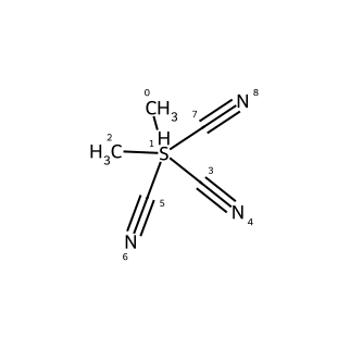 C[SH](C)(C#N)(C#N)C#N